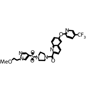 COCCn1cc(S(=O)(=O)N2CCN(C(=O)c3ccc4cc(Oc5ccc(C(F)(F)F)cn5)ccc4n3)CC2)cn1